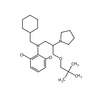 CC(C)(C)COCC(CN(CC1CCCCC1)c1c(Cl)cccc1Cl)N1CCCC1